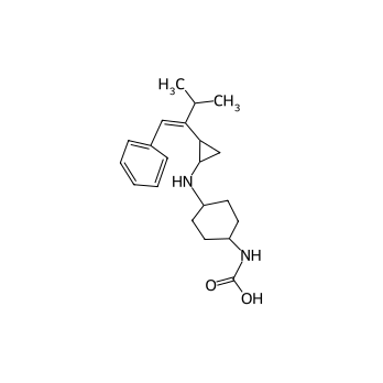 CC(C)C(=Cc1ccccc1)C1CC1NC1CCC(NC(=O)O)CC1